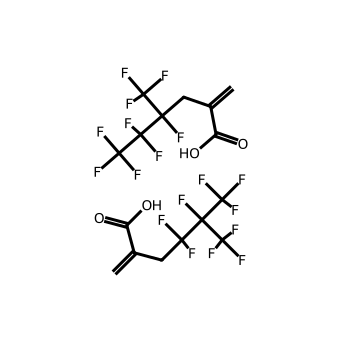 C=C(CC(F)(C(F)(F)F)C(F)(F)C(F)(F)F)C(=O)O.C=C(CC(F)(F)C(F)(C(F)(F)F)C(F)(F)F)C(=O)O